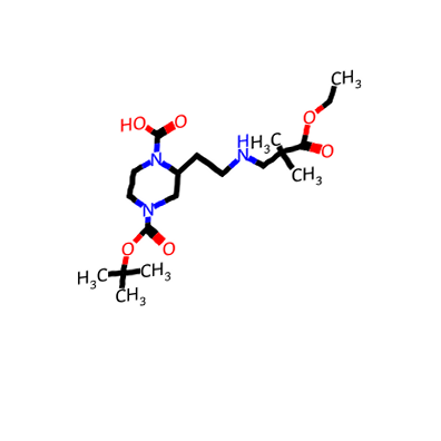 CCOC(=O)C(C)(C)CNCCC1CN(C(=O)OC(C)(C)C)CCN1C(=O)O